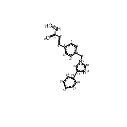 O=C(/C=C/c1ccc(Cn2cnc(-c3ccccc3)c2)cc1)NO